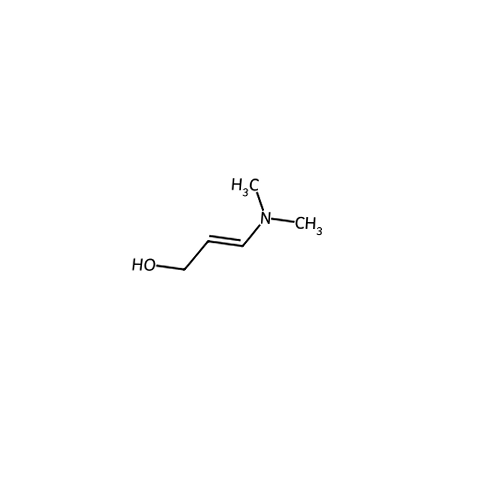 CN(C)C=CCO